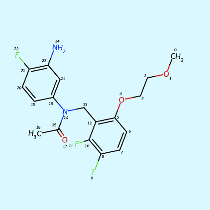 COCCOc1ccc(F)c(F)c1CN(C(C)=O)c1ccc(F)c(N)c1